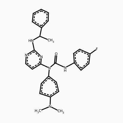 CC(Nc1nccc(N(C(=O)Nc2ccc(F)cc2)c2ccc(N(C)C)cc2)n1)c1ccccc1